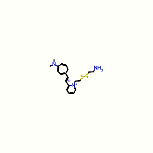 CN(C)C1=CC=C(/C=C/c2cccc[n+]2CCSSCCN)CC=C1